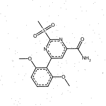 COc1cccc(OC)c1-c1cc(C(N)=O)nc(S(C)(=O)=O)n1